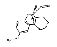 COc1ccc2c(c1)[C@@]13CCCC[C@H]1[C@@H](C2)N(C=O)CC3